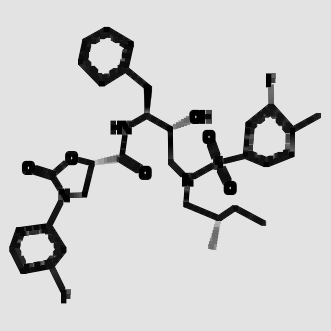 CC[C@H](C)CN(C[C@@H](O)[C@H](Cc1ccccc1)NC(=O)[C@@H]1CN(c2cccc(F)c2)C(=O)O1)S(=O)(=O)c1ccc(C)c(F)c1